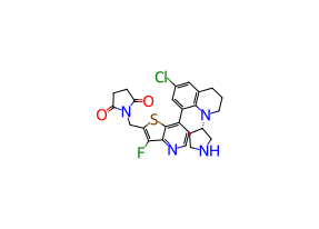 O=C1CCC(=O)N1Cc1sc2c(-c3cc(Cl)cc4c3N([C@H]3CCNC3)CCC4)ccnc2c1F